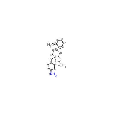 CCCC1(Cc2ccc(N)cc2)CCC(c2ccccc2C)CC1